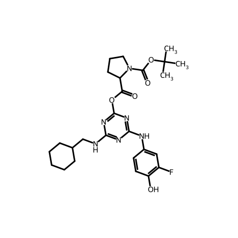 CC(C)(C)OC(=O)N1CCCC1C(=O)Oc1nc(NCC2CCCCC2)nc(Nc2ccc(O)c(F)c2)n1